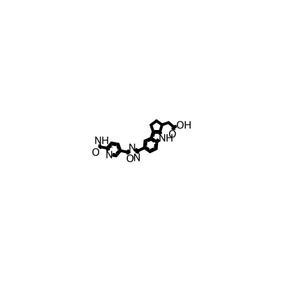 NC(=O)c1ccc(-c2nc(-c3ccc4[nH]c5c(c4c3)CCC5CC(=O)O)no2)cn1